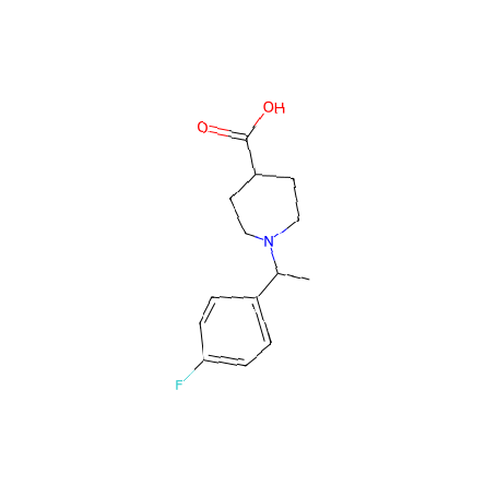 CC(c1ccc(F)cc1)N1CCC(C(=O)O)CC1